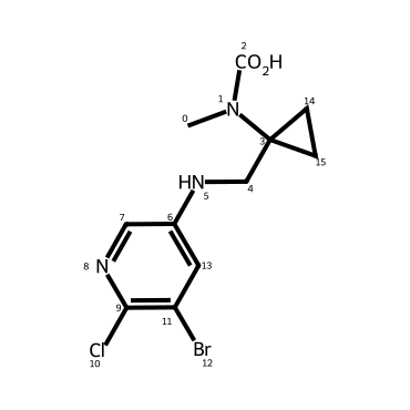 CN(C(=O)O)C1(CNc2cnc(Cl)c(Br)c2)CC1